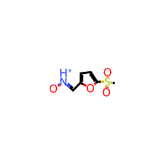 CS(=O)(=O)c1ccc(C=[NH+][O-])o1